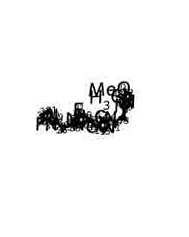 COc1ccn2cc(C3CC3c3cn4ccc(OCc5cc(F)c6nc(C7CC7c7cn8cccc(F)c8n7)cn6c5)c(C)c4n3)nc2c1C